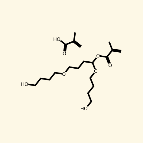 C=C(C)C(=O)O.C=C(C)C(=O)OC(CCCOCCCCO)OCCCCO